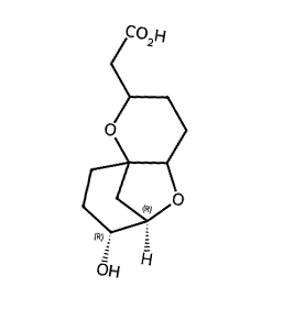 O=C(O)CC1CCC2O[C@@H]3CC2(CC[C@H]3O)O1